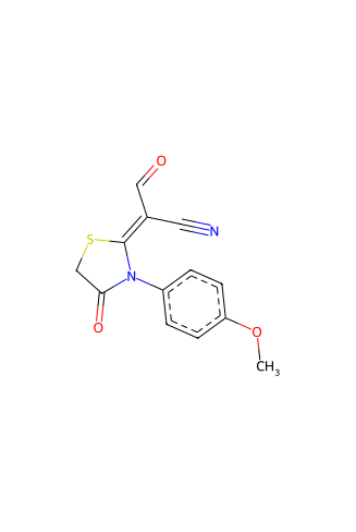 COc1ccc(N2C(=O)CS/C2=C(/C#N)C=O)cc1